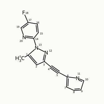 Cc1cc(C#Cc2ccccn2)nn1-c1ccc(F)cn1